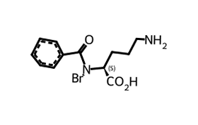 NCCC[C@@H](C(=O)O)N(Br)C(=O)c1ccccc1